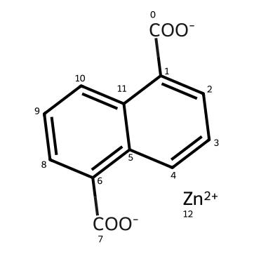 O=C([O-])c1cccc2c(C(=O)[O-])cccc12.[Zn+2]